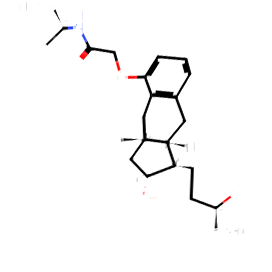 CCCCC[C@H](O)CC[C@@H]1[C@H]2Cc3cccc(OCC(=O)N[C@H](C(=O)O)C(C)C)c3C[C@H]2C[C@H]1O